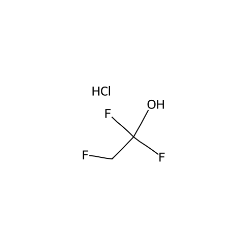 Cl.OC(F)(F)CF